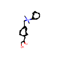 C[N+](C)(Cc1ccc(C(=O)CO)cc1)c1ccccc1